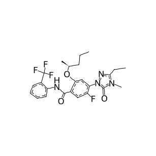 CCC[C@H](C)Oc1cc(-n2nc(CC)n(C)c2=O)c(F)cc1C(=O)Nc1ccccc1C(F)(F)F